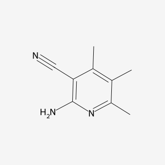 Cc1nc(N)c(C#N)c(C)c1C